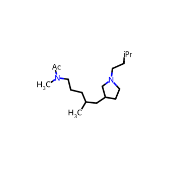 CC(=O)N(C)CCCC(C)CC1CCN(CCC(C)C)C1